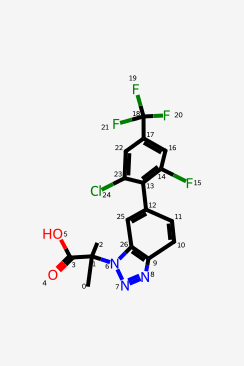 CC(C)(C(=O)O)n1nnc2ccc(-c3c(F)cc(C(F)(F)F)cc3Cl)cc21